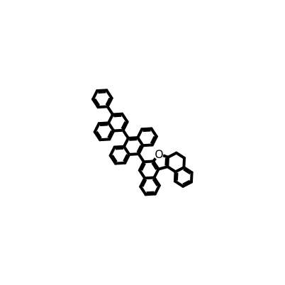 c1ccc(-c2ccc(-c3c4ccccc4c(-c4cc5ccccc5c5c6c(oc45)CCc4ccccc4-6)c4ccccc34)c3ccccc23)cc1